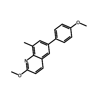 COc1ccc(-c2cc(C)c3nc(OC)ccc3c2)cc1